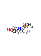 CS(=O)(=O)c1ccc2c(c1)CN(c1ccc(C(O)(C(F)(F)F)C(F)(F)F)cc1)C2C(=O)O